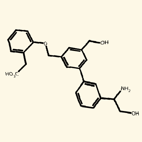 NC(CO)c1cccc(-c2cc(CO)cc(COc3ccccc3CC(=O)O)c2)c1